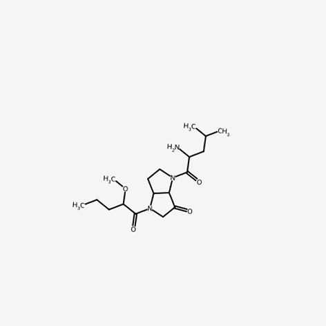 CCCC(OC)C(=O)N1CC(=O)C2C1CCN2C(=O)C(N)CC(C)C